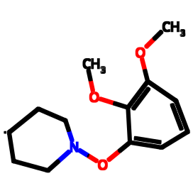 COc1cccc(ON2CC[CH]CC2)c1OC